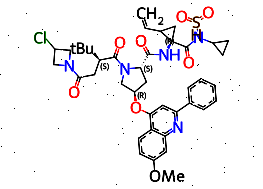 C=CC1C[C@]1(NC(=O)[C@@H]1C[C@@H](Oc2cc(-c3ccccc3)nc3cc(OC)ccc23)CN1C(=O)[C@@H](CC(=O)N1CC(Cl)C1)C(C)(C)C)C(=O)N(C1CC1)[SH](=O)=O